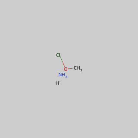 COCl.N.[H+]